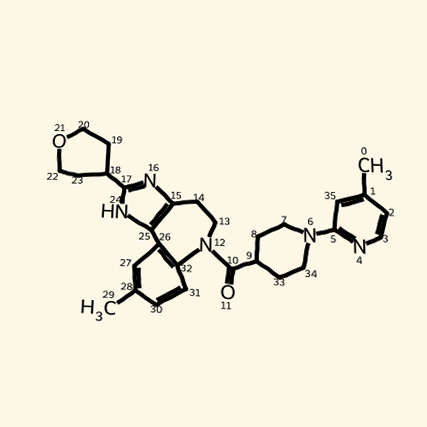 Cc1ccnc(N2CCC(C(=O)N3CCc4nc(C5CCOCC5)[nH]c4-c4cc(C)ccc43)CC2)c1